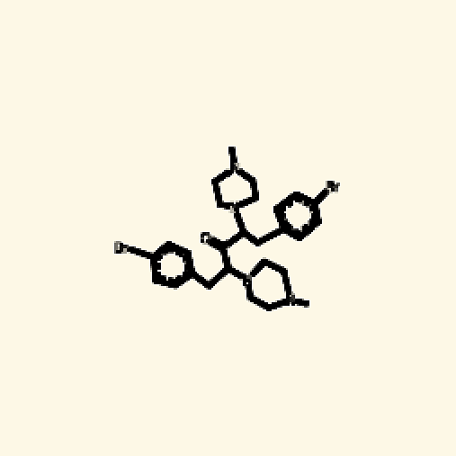 CN1CCN(C(Cc2ccc(Br)cc2)C(=O)C(Cc2ccc(Br)cc2)N2CCN(C)CC2)CC1